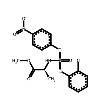 COC(=O)[C@H](C)NP(=O)(Oc1ccc([N+](=O)[O-])cc1)Oc1ccccc1Cl